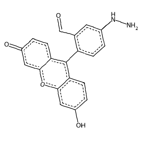 NNc1ccc(-c2c3ccc(=O)cc-3oc3cc(O)ccc23)c(C=O)c1